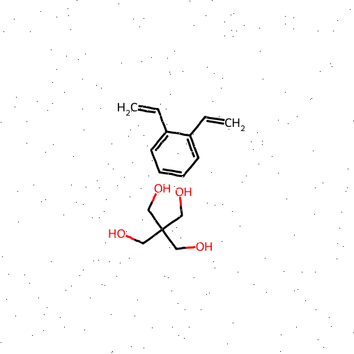 C=Cc1ccccc1C=C.OCC(CO)(CO)CO